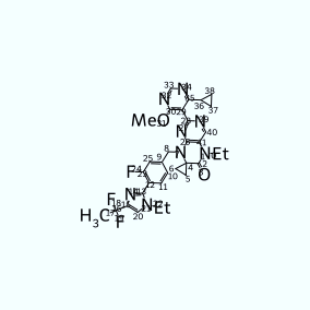 CCN1C(=O)C2(CC2)N(Cc2ccc(-c3nc(C(C)(F)F)cn3CC)c(F)c2)c2nc(-c3c(OC)ncnc3C3CC3)ncc21